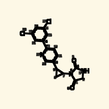 O=C1CNC(=O)N1C1CC1c1ccc(-c2cc(Cl)cc(Cl)c2)nc1